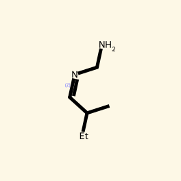 CCC(C)/C=N\CN